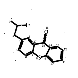 CC(I)Cc1ccc2sc3ccccc3c(=O)c2c1